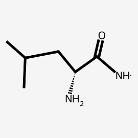 CC(C)C[C@@H](N)C([NH])=O